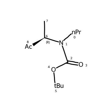 CCCN(C(=O)OC(C)(C)C)[C@H](C)C(C)=O